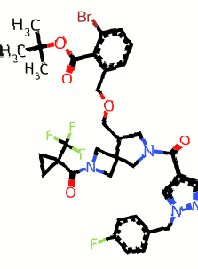 CC(C)(C)OC(=O)c1c(Br)cccc1COCC1CN(C(=O)c2cnn(Cc3ccc(F)cc3)c2)CC12CN(C(=O)C1(C(F)(F)F)CC1)C2